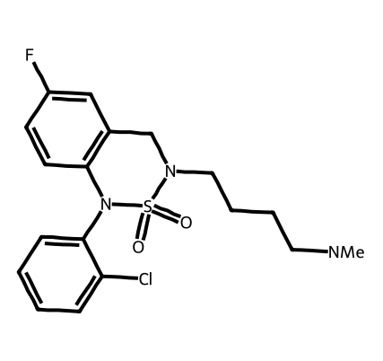 CNCCCCN1Cc2cc(F)ccc2N(c2ccccc2Cl)S1(=O)=O